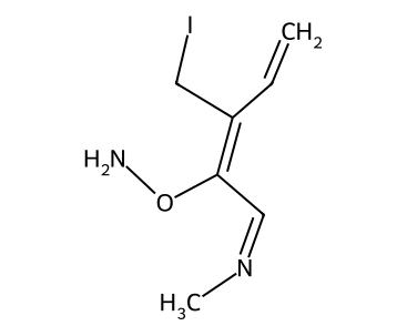 C=C/C(CI)=C(\C=N/C)ON